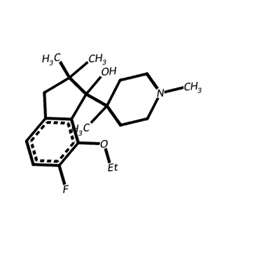 CCOc1c(F)ccc2c1C(O)(C1(C)CCN(C)CC1)C(C)(C)C2